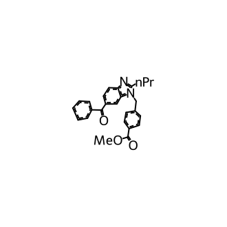 CCCc1nc2ccc(C(=O)c3ccccc3)cc2n1Cc1ccc(C(=O)OC)cc1